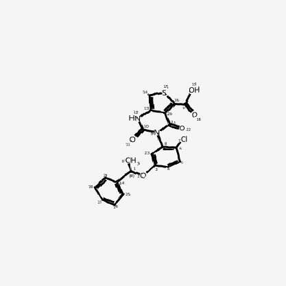 C[C@@H](Oc1ccc(Cl)c(-n2c(=O)[nH]c3csc(C(=O)O)c3c2=O)c1)c1ccccc1